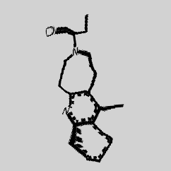 CCC(=O)N1CCc2nc3ccccc3c(C)c2CC1